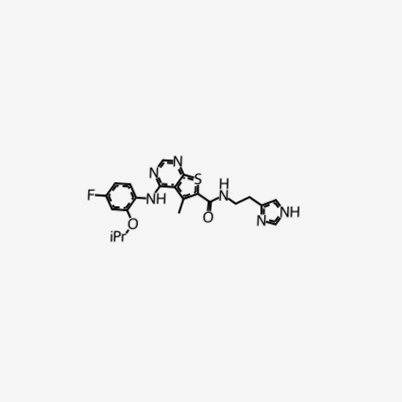 Cc1c(C(=O)NCCc2c[nH]cn2)sc2ncnc(Nc3ccc(F)cc3OC(C)C)c12